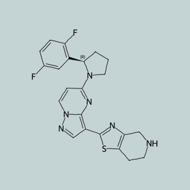 Fc1ccc(F)c([C@H]2CCCN2c2ccn3ncc(-c4nc5c(s4)CCNC5)c3n2)c1